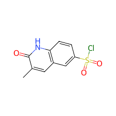 Cc1cc2cc(S(=O)(=O)Cl)ccc2[nH]c1=O